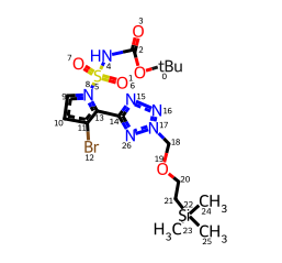 CC(C)(C)OC(=O)NS(=O)(=O)n1ccc(Br)c1-c1nnn(COCC[Si](C)(C)C)n1